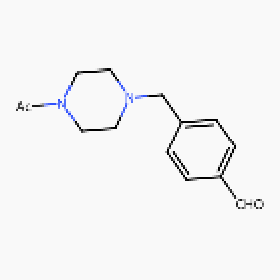 CC(=O)N1CCN(Cc2ccc(C=O)cc2)CC1